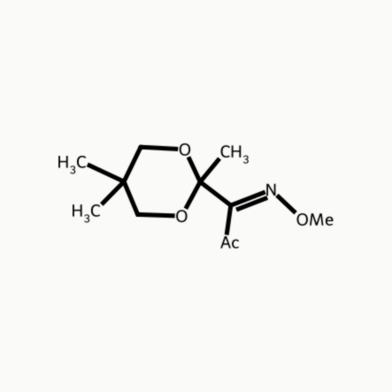 CO/N=C(\C(C)=O)C1(C)OCC(C)(C)CO1